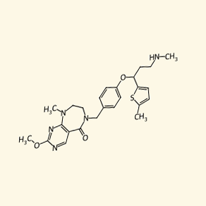 CNCCC(Oc1ccc(CN2CCN(C)c3nc(OC)ncc3C2=O)cc1)c1ccc(C)s1